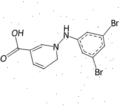 O=C(O)C1=CN(Nc2cc(Br)cc(Br)c2)CC=C1